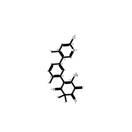 C=C1C(=O)C(C)(C)C(=O)C(c2cc(-c3cnc(Cl)cc3C)ccc2C)=C1O